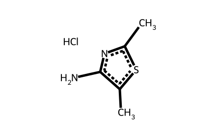 Cc1nc(N)c(C)s1.Cl